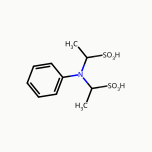 CC(N(c1ccccc1)C(C)S(=O)(=O)O)S(=O)(=O)O